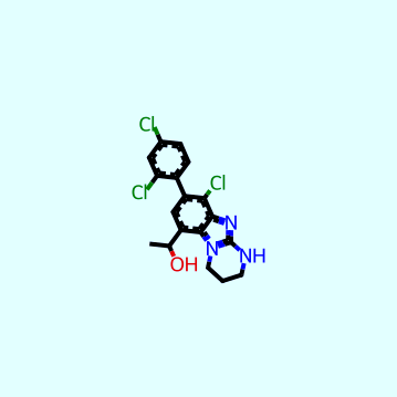 CC(O)c1cc(-c2ccc(Cl)cc2Cl)c(Cl)c2nc3n(c12)CCCN3